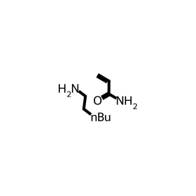 C=CC(N)=O.CCCCCCN